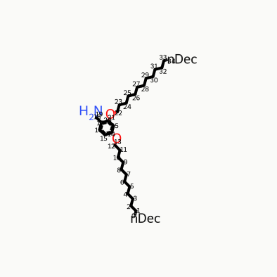 CCCCCCCCCCCCCCCCCCCCCCOc1ccc(CN)c(OCCCCCCCCCCCCCCCCCCCCCC)c1